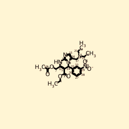 CCOC(=O)C1=C(COC(C)=O)Nc2ncc(CN(CC)CC)n2C1c1cccc([N+](=O)[O-])c1